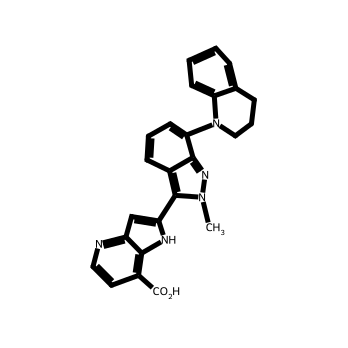 Cn1nc2c(N3CCCc4ccccc43)cccc2c1-c1cc2nccc(C(=O)O)c2[nH]1